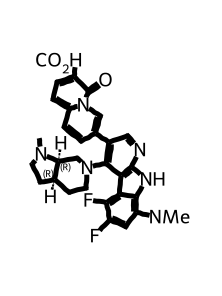 CNc1cc(F)c(F)c2c1[nH]c1ncc(-c3ccc4ccc(C(=O)O)c(=O)n4c3)c(N3CC[C@H]4CCN(C)[C@H]4C3)c12